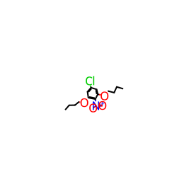 CCCCOc1cc(Cl)cc(OCCCC)c1[N+](=O)[O-]